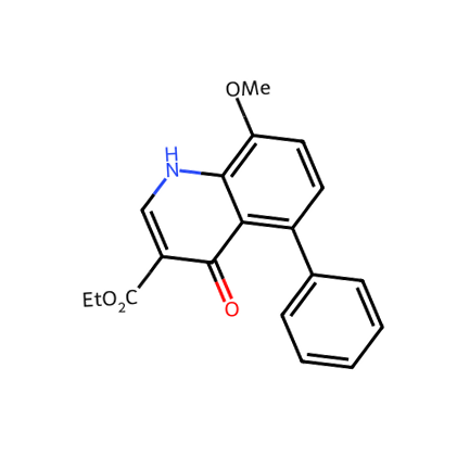 CCOC(=O)c1c[nH]c2c(OC)ccc(-c3ccccc3)c2c1=O